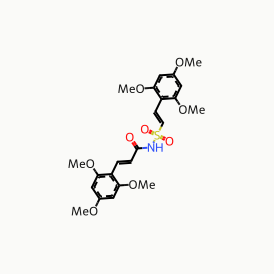 COc1cc(OC)c(C=CC(=O)NS(=O)(=O)C=Cc2c(OC)cc(OC)cc2OC)c(OC)c1